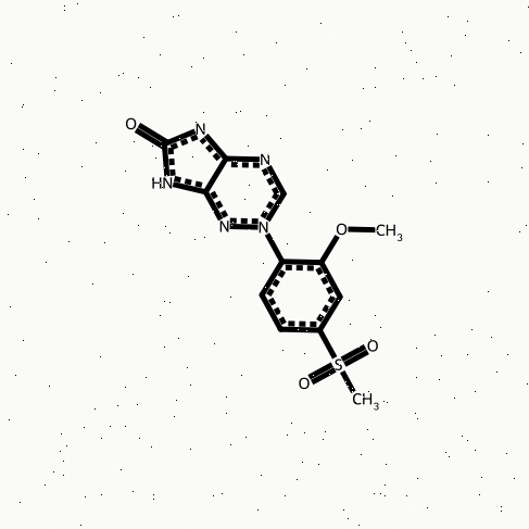 COc1cc(S(C)(=O)=O)ccc1-n1cnc2nc(=O)[nH]c-2n1